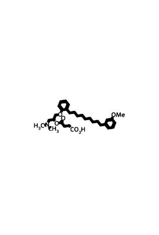 COc1cccc(CCCCCCCCCc2ccccc2OCC(CN(C)C)OC(=O)CCC(=O)O)c1